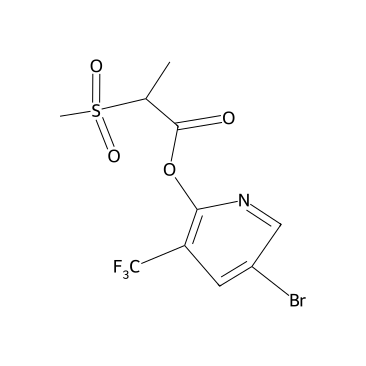 CC(C(=O)Oc1ncc(Br)cc1C(F)(F)F)S(C)(=O)=O